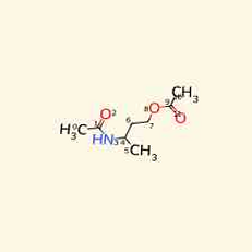 CC(=O)NC(C)CCOC(C)=O